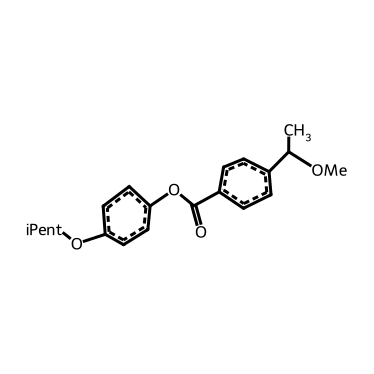 CCCC(C)Oc1ccc(OC(=O)c2ccc(C(C)OC)cc2)cc1